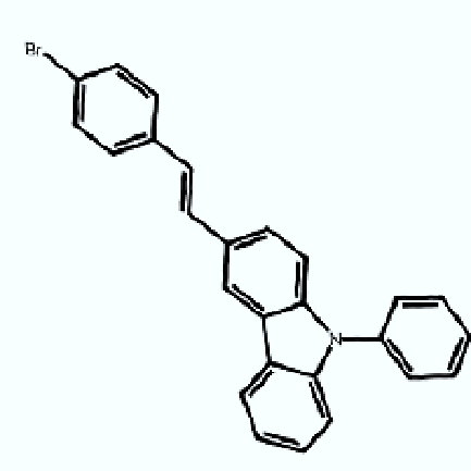 Brc1ccc(C=Cc2ccc3c(c2)c2ccccc2n3-c2ccccc2)cc1